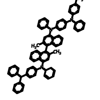 Cc1ccc(N(c2ccccc2)c2ccc(N(c3ccccc3)c3cc(C)c(-c4c(C)cc(N(c5ccc(C(c6ccccc6)c6ccccc6)cc5)C5C=CC=CC5)c5ccccc45)c4ccccc34)cc2)cc1